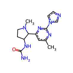 Cc1cc(C2C(NC(N)=O)CCN2C)nc(-n2ccnc2)n1